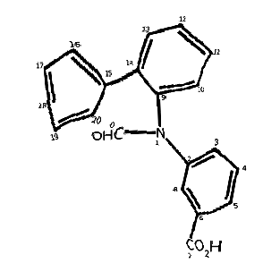 O=CN(c1cccc(C(=O)O)c1)c1ccccc1-c1ccccc1